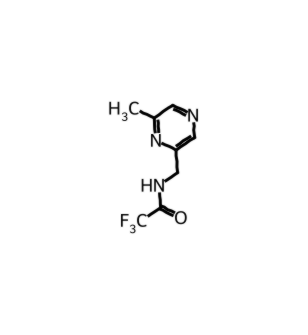 Cc1cncc(CNC(=O)C(F)(F)F)n1